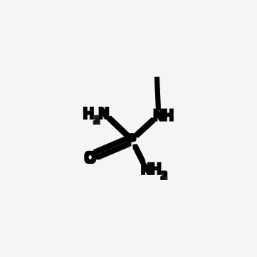 CNP(N)(N)=O